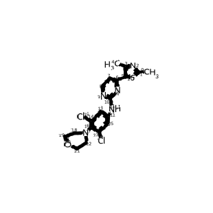 Cc1nc(C)c(-c2ccnc(Nc3cc(Cl)c(N4CCOCC4)c(Cl)c3)n2)s1